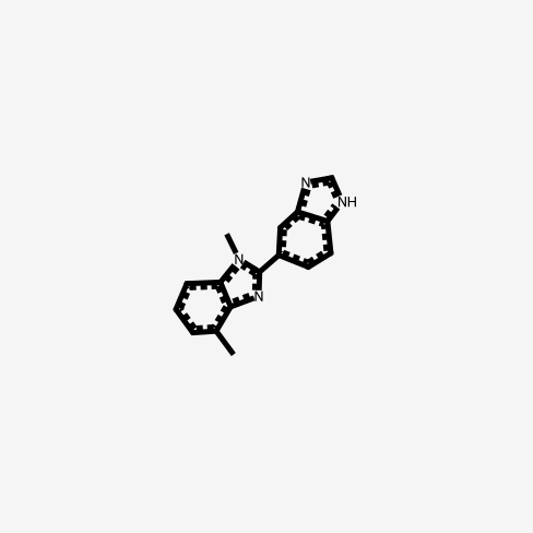 Cc1cccc2c1nc(-c1ccc3[nH]cnc3c1)n2C